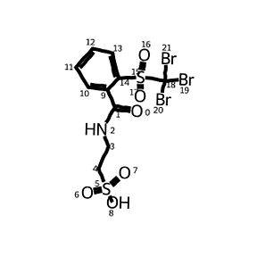 O=C(NCCS(=O)(=O)O)c1ccccc1S(=O)(=O)C(Br)(Br)Br